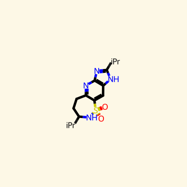 CC(C)c1nc2nc3c(cc2[nH]1)S(=O)(=O)NC(C(C)C)CC3